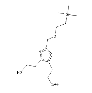 COCCc1cn(COCC[Si](C)(C)C)nc1CCO